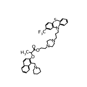 CC(Oc1ccc2ccccc2c1CN1CCCCC1)C(=O)OCCN1CCN(CCCN2c3ccccc3Sc3ccc(C(F)(F)F)cc32)CC1